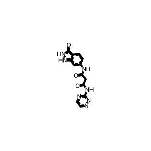 O=C(CC(=O)Nc1nccnn1)Nc1ccc2c(=O)[nH][nH]c2c1